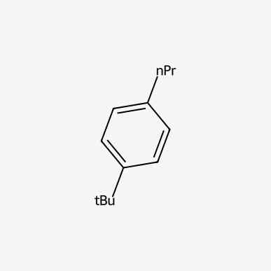 C[CH]Cc1ccc(C(C)(C)C)cc1